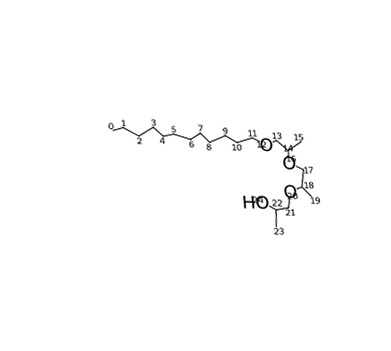 CCCCCCCCCCCCOCC(C)OCC(C)OCC(C)O